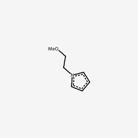 COCCn1cccc1